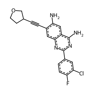 Nc1cc2c(N)nc(-c3ccc(F)c(Cl)c3)nc2cc1C#CC1CCOC1